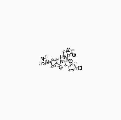 O=C(NC(Cc1ccc(Cl)cc1)C(=O)N1CCC2OCC(=O)C21)c1ccc(-n2ccnc2)cc1